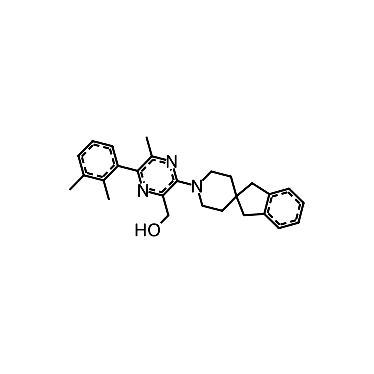 Cc1cccc(-c2nc(CO)c(N3CCC4(CC3)Cc3ccccc3C4)nc2C)c1C